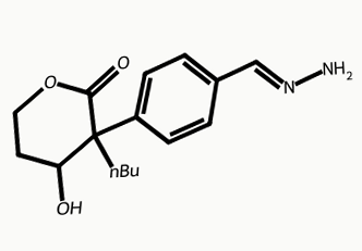 CCCCC1(c2ccc(C=NN)cc2)C(=O)OCCC1O